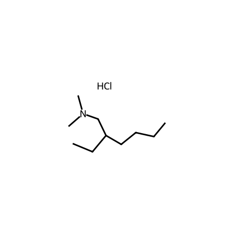 CCCCC(CC)CN(C)C.Cl